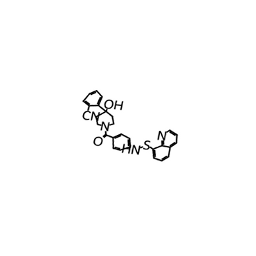 N#Cc1ccccc1C1(O)CCN(C(=O)c2ccc(NSc3cccc4cccnc34)cc2)CC1